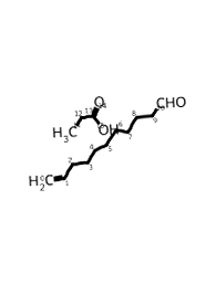 C=CCCCCCCCCC=O.CCC(=O)O